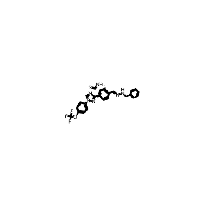 FC(F)(F)Oc1ccc(-n2cnc(-c3ccc(C=NNCc4ccccc4)cc3)n2)cc1.NC=S